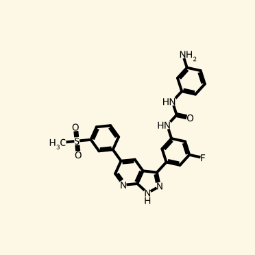 CS(=O)(=O)c1cccc(-c2cnc3[nH]nc(-c4cc(F)cc(NC(=O)Nc5cccc(N)c5)c4)c3c2)c1